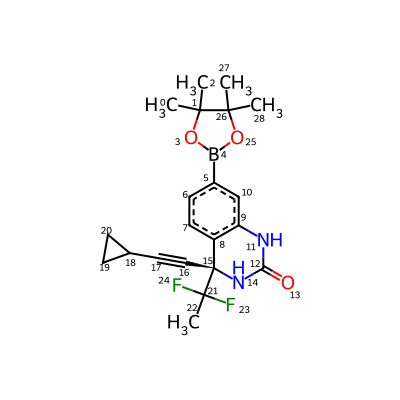 CC1(C)OB(c2ccc3c(c2)NC(=O)N[C@]3(C#CC2CC2)C(C)(F)F)OC1(C)C